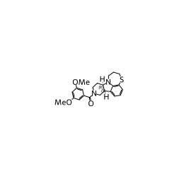 COc1cc(OC)cc(C(=O)N2CC[C@@H]3[C@H](C2)c2cccc4c2N3CCCS4)c1